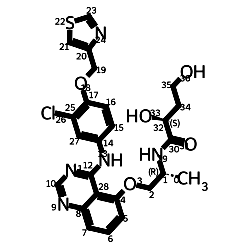 C[C@H](COc1cccc2ncnc(Nc3ccc(OCc4cscn4)c(Cl)c3)c12)NC(=O)[C@@H](O)CCO